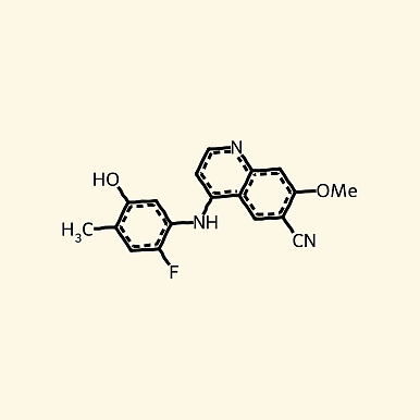 COc1cc2nccc(Nc3cc(O)c(C)cc3F)c2cc1C#N